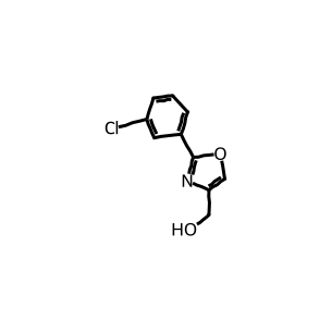 OCc1coc(-c2cccc(Cl)c2)n1